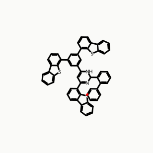 C1=C(c2cc(-c3cccc4c3sc3ccccc34)cc(-c3cccc4c3sc3ccccc34)c2)NC(c2ccccc2-c2ccccc2)N=C1c1cccc2c1sc1ccccc12